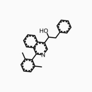 Cc1cccc(C)c1-c1ncc(C(O)Cc2ccccc2)c2ccccc12